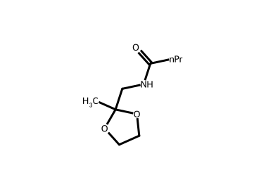 CCCC(=O)NCC1(C)OCCO1